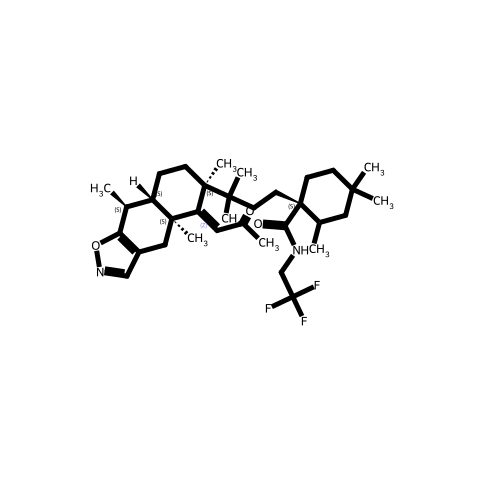 CC(=O)/C=C1/[C@@]2(C)Cc3cnoc3[C@@H](C)[C@@H]2CC[C@@]1(C)C(C)(C)CC[C@@]1(C(=O)NCC(F)(F)F)CCC(C)(C)CC1C